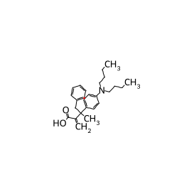 C=C(C(=O)O)C(C)(Cc1ccccc1)c1ccc(N(CCCC)CCCC)cc1